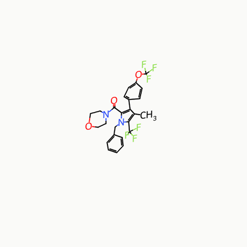 Cc1c(-c2ccc(OC(F)(F)F)cc2)c(C(=O)N2CCOCC2)n(Cc2ccccc2)c1C(F)(F)F